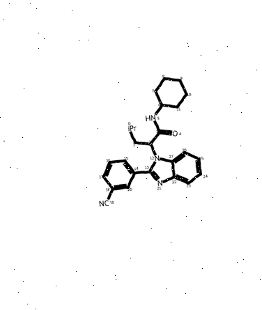 CC(C)CC(C(=O)NC1CCCCC1)n1c(-c2cccc(C#N)c2)nc2ccccc21